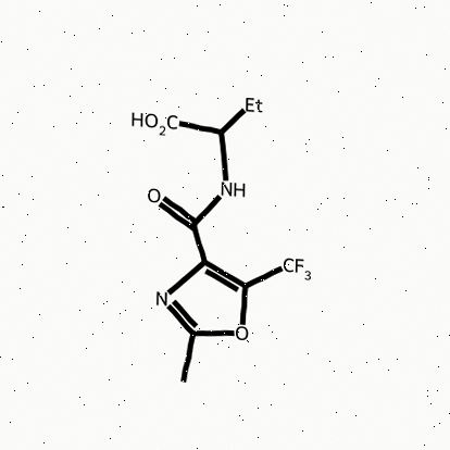 CCC(NC(=O)c1nc(C)oc1C(F)(F)F)C(=O)O